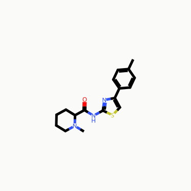 Cc1ccc(-c2csc(NC(=O)C3CCCCN3C)n2)cc1